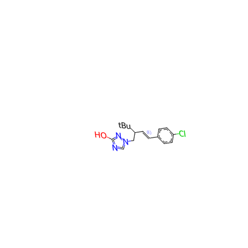 CC(C)(C)C(/C=C/c1ccc(Cl)cc1)Cn1cnc(O)n1